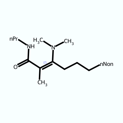 CCCCCCCCCCCC/C(=C(\C)C(=O)NCCC)N(C)C